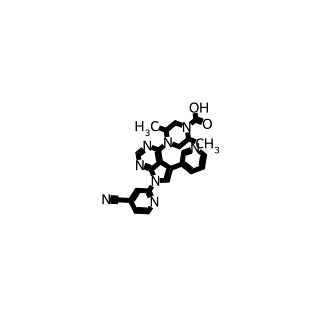 CC1CN(c2ncnc3c2c(-c2cccnc2)cn3-c2cc(C#N)ccn2)C(C)CN1C(=O)O